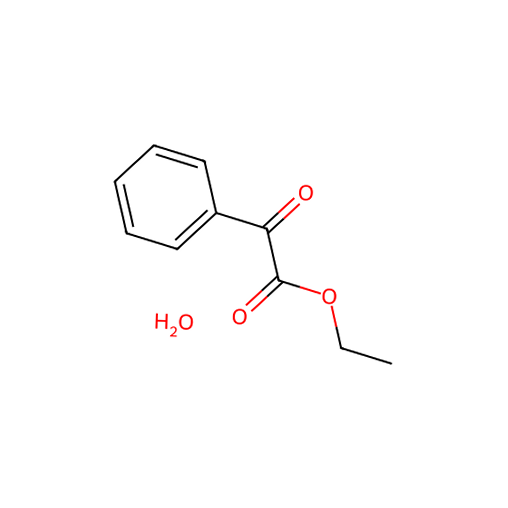 CCOC(=O)C(=O)c1ccccc1.O